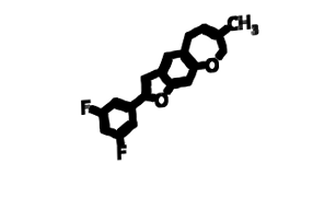 CC1=CCc2cc3cc(-c4cc(F)cc(F)c4)oc3cc2OC1